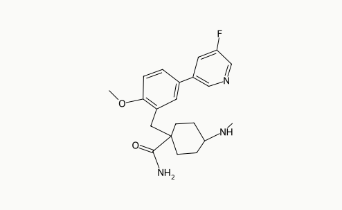 CNC1CCC(Cc2cc(-c3cncc(F)c3)ccc2OC)(C(N)=O)CC1